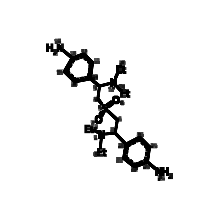 CCN(CC)C(CS(=O)(=O)CC(c1ccc(N)cc1)N(CC)CC)c1ccc(N)cc1